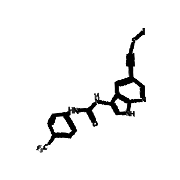 O=C(Nc1ccc(C(F)(F)F)cc1)Nc1c[nH]c2ncc(C#CSI)cc12